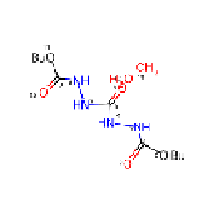 CC(C)COC(=O)NNC(=O)NNC(=O)OCC(C)C.O.O